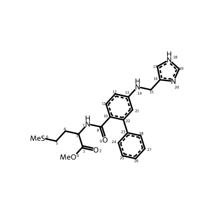 COC(=O)C(CCSC)NC(=O)c1ccc(NCc2c[nH]cn2)cc1-c1ccccc1